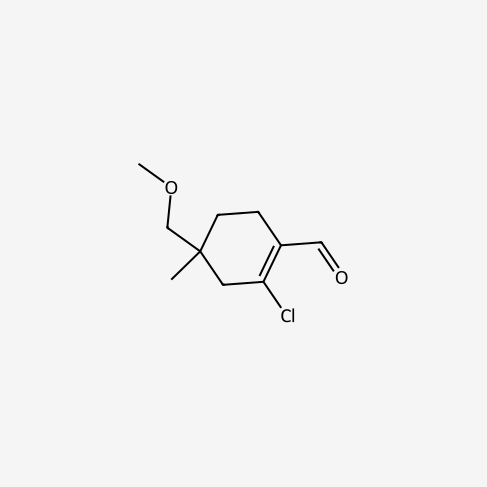 COCC1(C)CCC(C=O)=C(Cl)C1